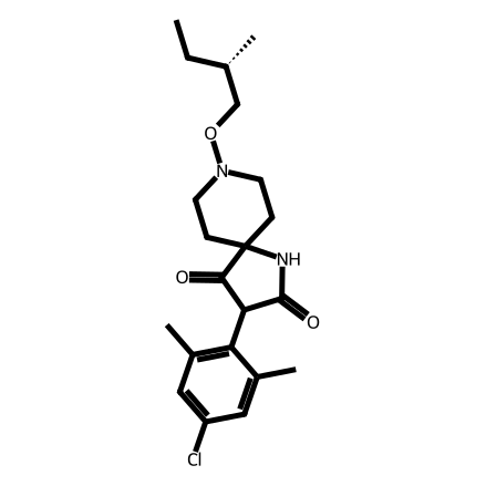 CC[C@H](C)CON1CCC2(CC1)NC(=O)C(c1c(C)cc(Cl)cc1C)C2=O